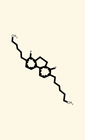 CCCCCCCc1ccc2c(c1F)CCc1c-2ccc(CCCCCC)c1F